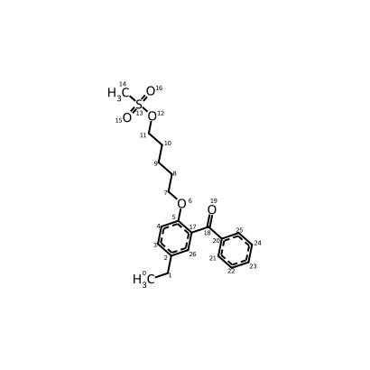 CCc1ccc(OCCCCCOS(C)(=O)=O)c(C(=O)c2ccccc2)c1